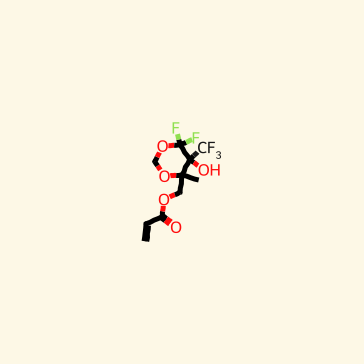 C=CC(=O)OCC1(C)OCOC(F)(F)C1(O)C(F)(F)F